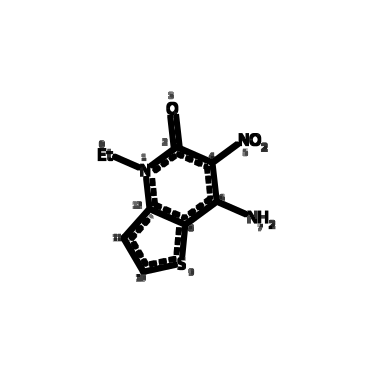 CCn1c(=O)c([N+](=O)[O-])c(N)c2sccc21